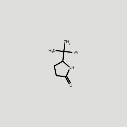 CCCC(C)(C)C1CCC(=O)N1